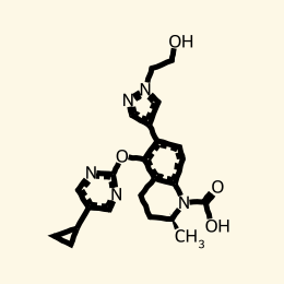 C[C@H]1CCc2c(ccc(-c3cnn(CCO)c3)c2Oc2ncc(C3CC3)cn2)N1C(=O)O